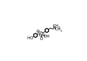 CN(C)CCc1ccc(C(CS(=O)(=O)c2ccc(O)cc2)N(O)C=O)cc1